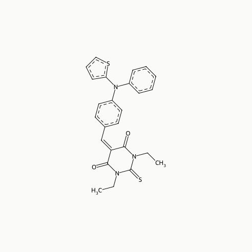 CCN1C(=O)C(=Cc2ccc(N(c3ccccc3)c3cccs3)cc2)C(=O)N(CC)C1=S